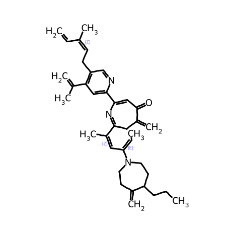 C=C/C(C)=C\Cc1cnc(C2=CC(=O)C(=C)CC(/C(C)=C\C(=C/C)N3CCC(=C)C(CCC)CC3)=N2)cc1C(=C)C